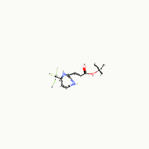 CC(C)(C)OC(=O)/C=C/c1nccc(C(F)(F)F)n1